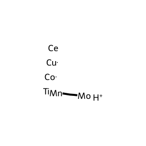 [Ce].[Co].[Cu].[H+].[Mn][Mo].[Ti]